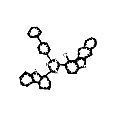 Clc1c(-c2nc(-c3ccc(-c4ccccc4)cc3)nc(-c3cccc4c3sc3ccccc34)n2)ccc2sc3cc4ccccc4cc3c12